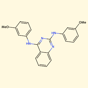 COc1cccc(Nc2nc(Nc3cccc(OC)c3)c3ccccc3n2)c1